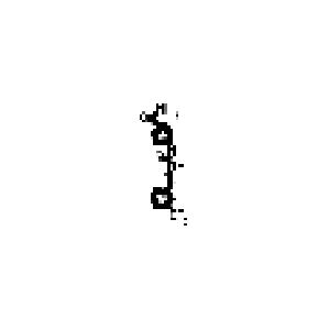 NC(=O)c1ccc(NC(=S)NCCc2cccc(C(F)(F)F)c2)cc1